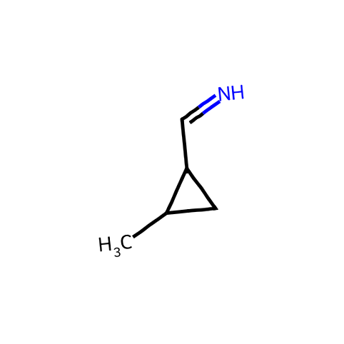 CC1C[C]1C=N